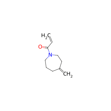 C=CC(=O)N1CCCC(=C)CC1